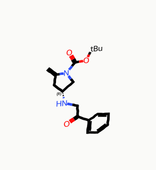 C=C1C[C@@H](NCC(=O)c2ccccc2)CN1C(=O)OC(C)(C)C